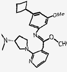 COc1cc(/N=C(\OC=O)c2cccnc2N2CC[C@@H](N(C)C)C2)cc(C2CCC2)c1